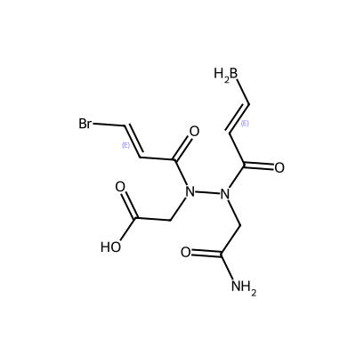 B/C=C/C(=O)N(CC(N)=O)N(CC(=O)O)C(=O)/C=C/Br